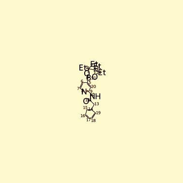 CCC1(CC)OB(c2ccnc(NC(=O)Cc3ccccc3)c2)OC1(CC)CC